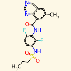 CCCS(=O)(=O)Nc1ccc(F)c(NC(=O)c2cc(C)cc3cncnc23)c1F